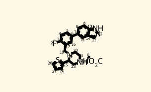 CC(=O)O.Fc1ccc(-c2ccc3[nH]ncc3c2)cc1CN1CCNCC1c1cccs1